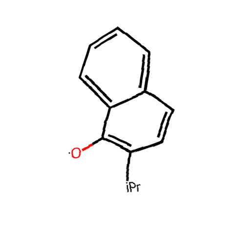 CC(C)c1ccc2ccccc2c1[O]